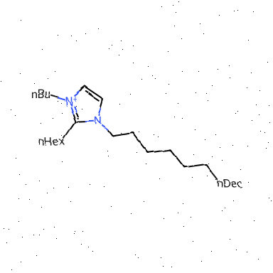 CCCCCCCCCCCCCCCCn1cc[n+](CCCC)c1CCCCCC